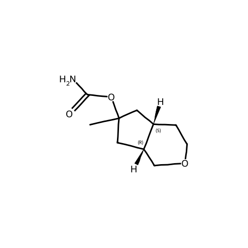 CC1(OC(N)=O)C[C@H]2COCC[C@H]2C1